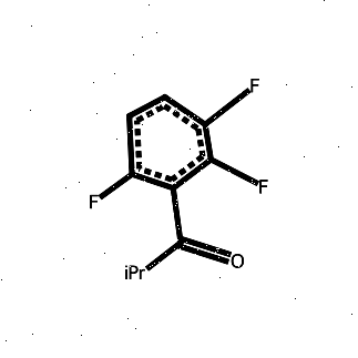 CC(C)C(=O)c1c(F)ccc(F)c1F